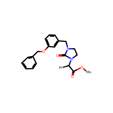 CC(C)C(C(=O)OC(C)(C)C)N1CCN(Cc2cccc(OCc3ccccc3)c2)C1=O